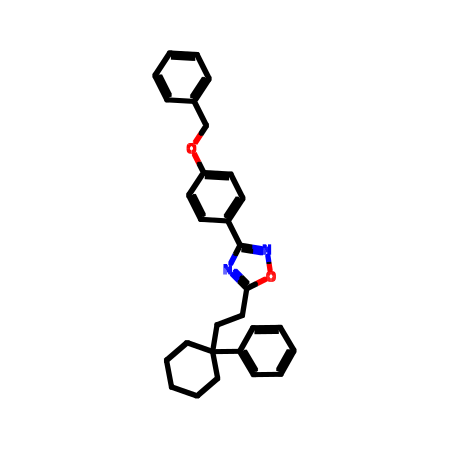 c1ccc(COc2ccc(-c3noc(CCC4(c5ccccc5)CCCCC4)n3)cc2)cc1